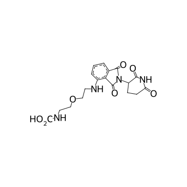 O=C(O)NCCOCCNc1cccc2c1C(=O)N(C1CCC(=O)NC1=O)C2=O